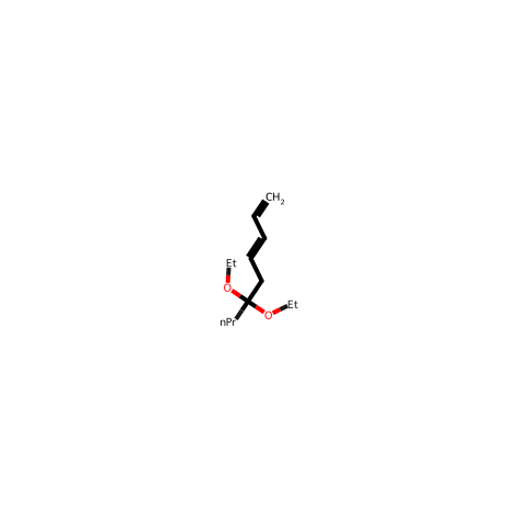 C=CC=CCC(CCC)(OCC)OCC